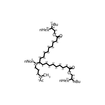 CCCCCCCCCN(CCCN(C)C(C)=O)C(CCCCCCCCC(=O)OCC(CCCC)CCCCCC)CCCCCCCCC(=O)OCC(CCCC)CCCCCC